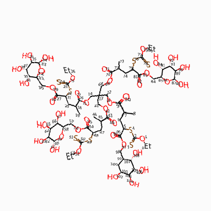 CCOC(=S)SC(CC(C)C(=O)OCC(COC(=O)C(C)CC(SC(=S)OCC)C(=O)OCC1O[C@H](O)C(O)[C@@H](O)[C@H]1O)(COC(=O)C(C)CC(SC(=S)OCC)C(=O)OCC1O[C@H](O)C(O)[C@@H](O)[C@H]1O)COC(=O)C(C)CC(SC(=S)OCC)C(=O)OCC1O[C@H](O)C(O)[C@@H](O)[C@H]1O)C(=O)OCC1C[C@H](O)C(O)[C@@H](O)[C@H]1O